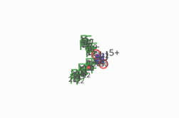 F[B-](F)(F)F.F[B-](F)(F)F.F[B-](F)(F)F.F[B-](F)(F)F.F[B-](F)(F)F.O=C1CCC(=O)[N]1[U+5]